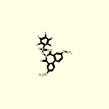 COc1ccc2c(c1)c(=O)n(OS(=O)(=O)c1c(F)c(F)c(F)c(F)c1F)c(=O)c1cc(OC)ccc12